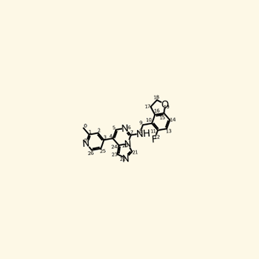 Cc1cc(-c2cnc(NCc3c(F)ccc4c3CCO4)n3cncc23)ccn1